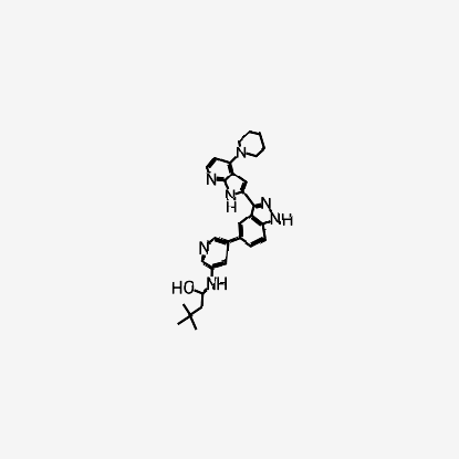 CC(C)(C)CC(O)Nc1cncc(-c2ccc3[nH]nc(-c4cc5c(N6CCCCC6)ccnc5[nH]4)c3c2)c1